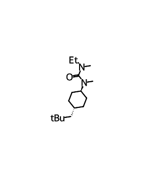 CCN(C)C(=O)N(C)[C@H]1CC[C@H](CC(C)(C)C)CC1